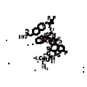 CC(C)(C)OC(=O)Nc1sc2c(F)ccc(-c3c(Cl)cc4c(N5CC6CCC(C5)N6C(=O)OC(C)(C)C)nc(OC[C@]5(CN6CCC7(CCC(CC(=O)O)CC7)CC6)CC5(F)F)nc4c3F)c2c1C#N